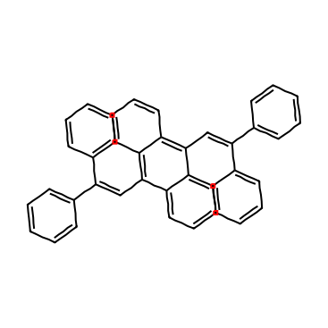 C(=C(c1ccccc1)c1ccccc1)c1c2ccccc2c(C=C(c2ccccc2)c2ccccc2)c2ccccc12